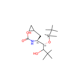 CC(C)(C)C(O)[C@@H](O[Si](C)(C)C(C)(C)C)[C@H](CC1CC1)NC(=O)O